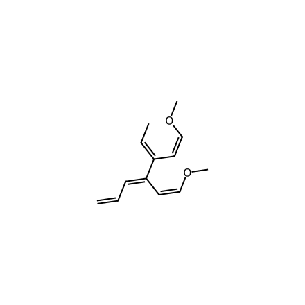 C=C/C=C(\C=C/OC)C(/C=C\OC)=C/C